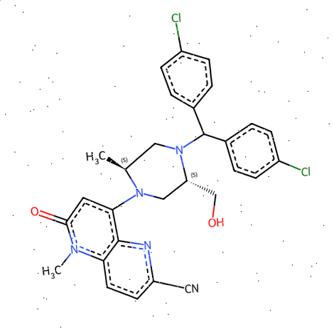 C[C@H]1CN(C(c2ccc(Cl)cc2)c2ccc(Cl)cc2)[C@H](CO)CN1c1cc(=O)n(C)c2ccc(C#N)nc12